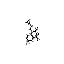 O=c1oc(=O)n(CCC2CC2)c2ccc(F)cc12